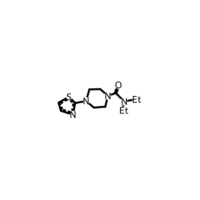 CCN(CC)C(=O)N1CCN(c2nccs2)CC1